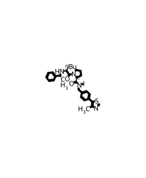 CC[C@H](C)[C@H](NC(C)c1ccccc1)C(=O)N1CCC[C@H]1C(=O)N(I)Cc1ccc(-c2scnc2C)cc1